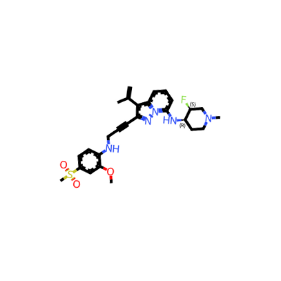 C=C(C)c1c(C#CCNc2ccc(S(C)(=O)=O)cc2OC)nn2c(N[C@@H]3CCN(C)C[C@@H]3F)cccc12